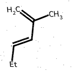 C=C(C)/C=[C]/CC